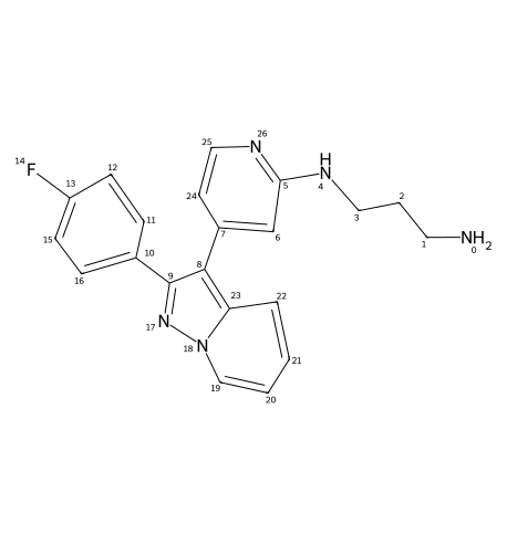 NCCCNc1cc(-c2c(-c3ccc(F)cc3)nn3ccccc23)ccn1